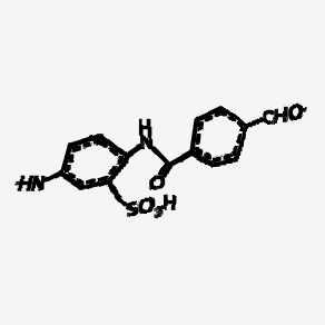 [NH]c1ccc(NC(=O)c2ccc([C]=O)cc2)c(S(=O)(=O)O)c1